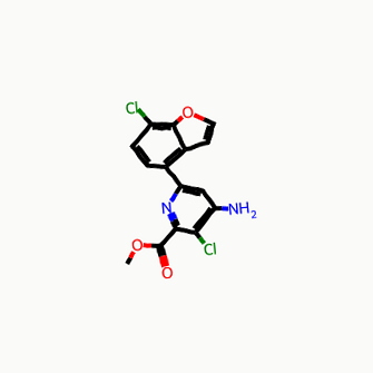 COC(=O)c1nc(-c2ccc(Cl)c3occc23)cc(N)c1Cl